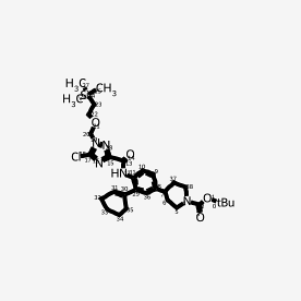 CC(C)(C)OC(=O)N1CCC(c2ccc(NC(=O)c3nc(Cl)n(COCC[Si](C)(C)C)n3)c(C3=CCCCC3)c2)CC1